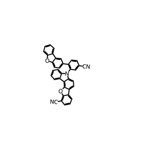 N#Cc1ccc(-c2ccc3oc4ccccc4c3c2)c(-n2c3ccccc3c3c4oc5c(C#N)cccc5c4ccc32)c1